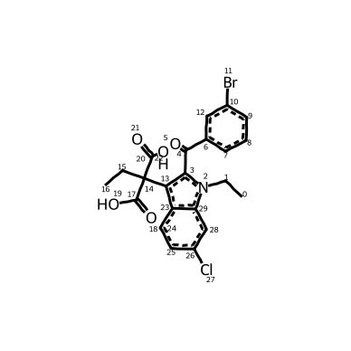 CCn1c(C(=O)c2cccc(Br)c2)c(C(CC)(C(=O)O)C(=O)O)c2ccc(Cl)cc21